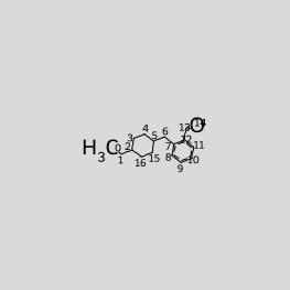 CCC1CCC(Cc2ccccc2C=O)CC1